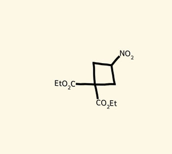 CCOC(=O)C1(C(=O)OCC)CC([N+](=O)[O-])C1